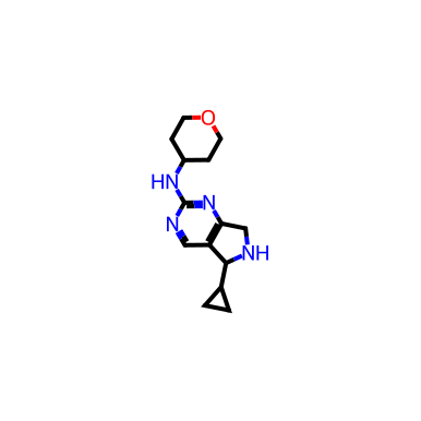 c1nc(NC2CCOCC2)nc2c1C(C1CC1)NC2